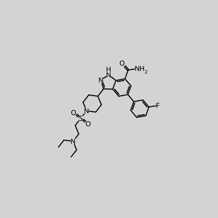 CCN(CC)CCS(=O)(=O)N1CCC(c2n[nH]c3c(C(N)=O)cc(-c4cccc(F)c4)cc23)CC1